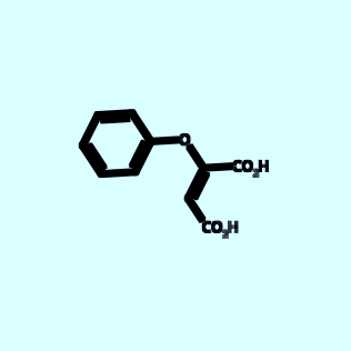 O=C(O)C=C(Oc1ccccc1)C(=O)O